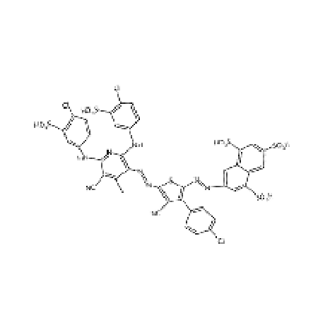 Cc1c(C#N)c(Nc2ccc(Cl)c(S(=O)(=O)O)c2)nc(Nc2ccc(Cl)c(S(=O)(=O)O)c2)c1N=Nc1sc(N=Nc2cc(S(=O)(=O)O)c3cc(S(=O)(=O)O)cc(S(=O)(=O)O)c3c2)c(-c2ccc(Cl)cc2)c1C#N